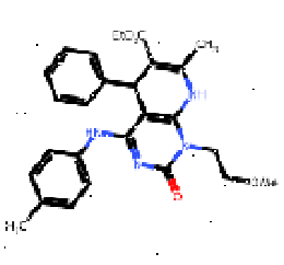 CCOC(=O)C1=C(C)Nc2c(c(Nc3ccc(C)cc3)nc(=O)n2CCOC)C1c1ccccc1